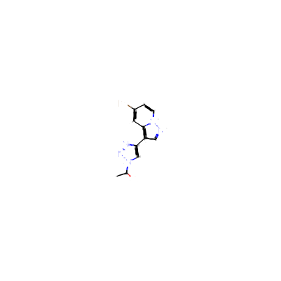 CC(O)n1cc(-c2cnn3ccc(Br)cc23)nn1